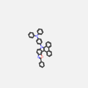 c1ccc(-c2nc3ccc4c(c3o2)c2c3ccccc3c3ccccc3c2n4-c2ccc(N(c3ccccc3)c3ccccc3)cc2)cc1